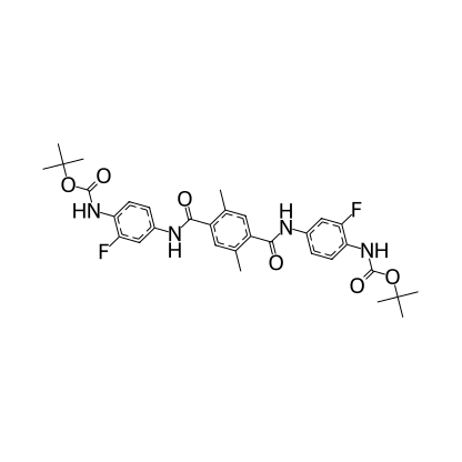 Cc1cc(C(=O)Nc2ccc(NC(=O)OC(C)(C)C)c(F)c2)c(C)cc1C(=O)Nc1ccc(NC(=O)OC(C)(C)C)c(F)c1